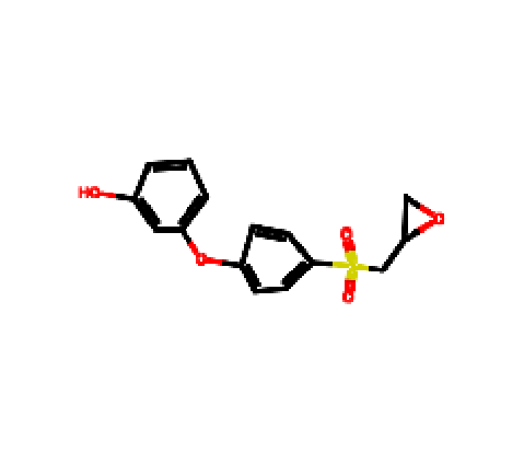 O=S(=O)(CC1CO1)c1ccc(Oc2cccc(O)c2)cc1